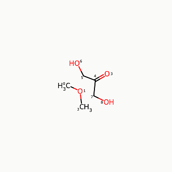 COC.O=C(CO)CO